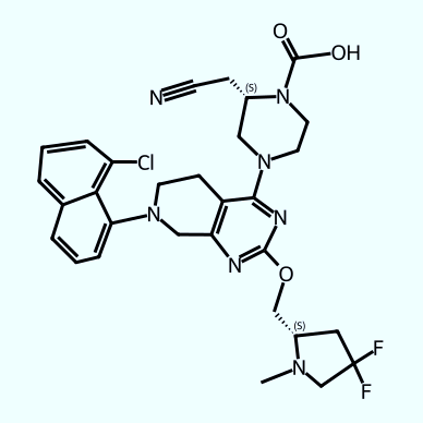 CN1CC(F)(F)C[C@H]1COc1nc2c(c(N3CCN(C(=O)O)[C@@H](CC#N)C3)n1)CCN(c1cccc3cccc(Cl)c13)C2